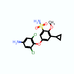 COc1c(C2CC2)cc(Oc2c(Cl)cc(N)cc2Cl)cc1S(N)(=O)=O